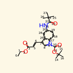 CCOC(=O)/C=C/c1cn(C(=O)OC(C)(C)C)c2ccc(NC(=O)C(C)(C)C)cc12